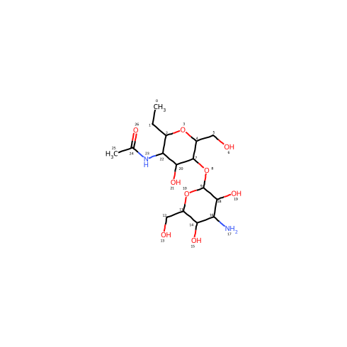 CCC1OC(CO)C(OC2OC(CO)C(O)C(N)C2O)C(O)C1NC(C)=O